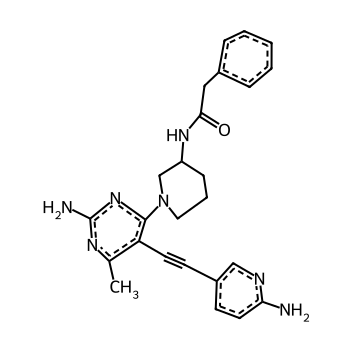 Cc1nc(N)nc(N2CCCC(NC(=O)Cc3ccccc3)C2)c1C#Cc1ccc(N)nc1